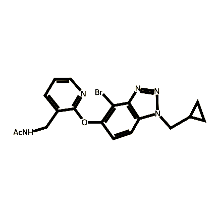 CC(=O)NCc1cccnc1Oc1ccc2c(nnn2CC2CC2)c1Br